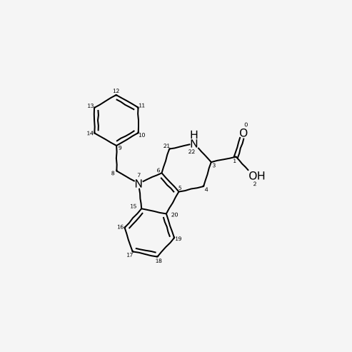 O=C(O)C1Cc2c(n(Cc3ccccc3)c3ccccc23)CN1